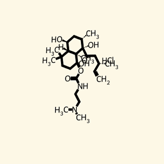 C=C[C@@H](C)CC(=O)[C@]1(O)[C@@H](C)C[C@H](O)[C@H]2C(C)(C)CC[C@](O)(OC(=O)NCCN(C)C)[C@@]21C.Cl